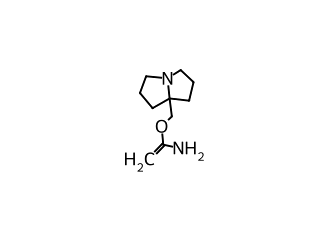 C=C(N)OCC12CCCN1CCC2